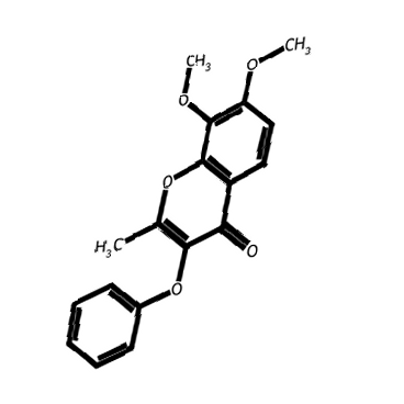 COc1ccc2c(=O)c(Oc3ccccc3)c(C)oc2c1OC